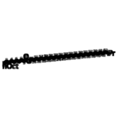 CCCCCCCC/C=C\CCCCCCCC(=O)OCCCCCCCCCCCCCCCCCCCCCCCCCCCCCCCC(C)C